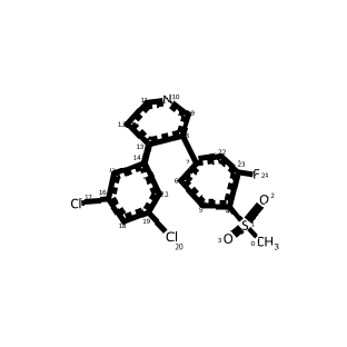 CS(=O)(=O)c1ccc(-c2cnccc2-c2cc(Cl)cc(Cl)c2)cc1F